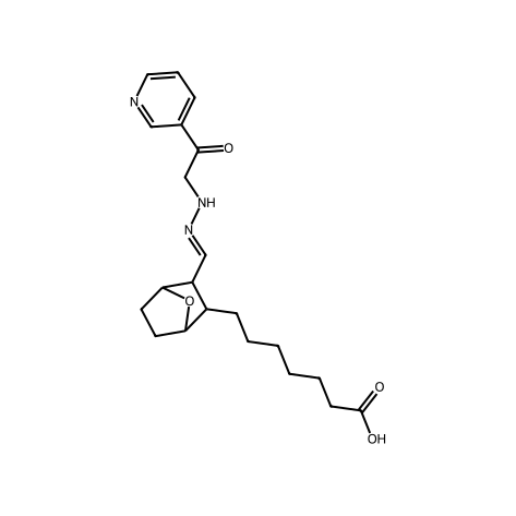 O=C(O)CCCCCCC1C2CCC(O2)C1C=NNCC(=O)c1cccnc1